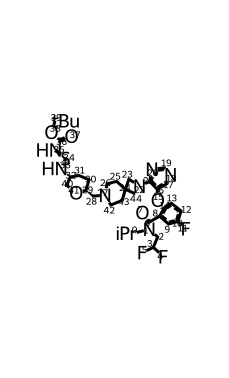 CC(C)N(CC(F)F)C(=O)c1cc(F)ccc1Oc1cncnc1N1CC2(CCN(C[C@@H]3CC[C@@H](NSNC(=O)OC(C)(C)C)CO3)CC2)C1